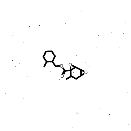 CC1CCCCC1COC(=O)C12OC1C1OC1CC2C